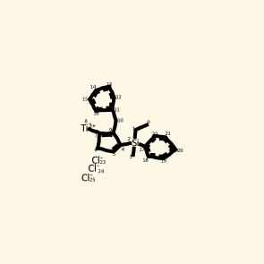 CC[Si](C)(C1=CC[C]([Ti+3])=C1Cc1ccccc1)c1ccccc1.[Cl-].[Cl-].[Cl-]